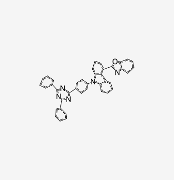 c1ccc(-c2nc(-c3ccccc3)nc(-c3ccc(-n4c5ccccc5c5c(-c6nc7ccccc7o6)cccc54)cc3)n2)cc1